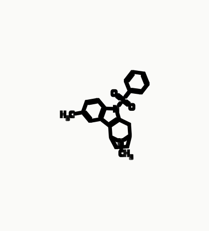 Cc1ccc2c(c1)c1c(n2S(=O)(=O)c2ccccc2)CC2CCC1N2C